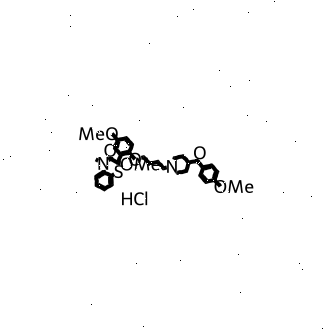 COc1ccc(C(=O)C2CCN(CCCCOc3ccc(OC)cc3C3(OC)Sc4ccccc4N(C)C3=O)CC2)cc1.Cl